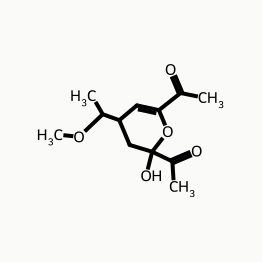 COC(C)C1C=C(C(C)=O)OC(O)(C(C)=O)C1